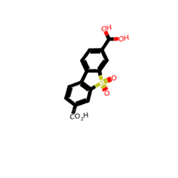 O=C(O)c1ccc2c(c1)S(=O)(=O)c1cc(C(O)O)ccc1-2